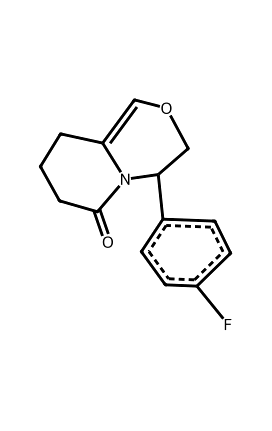 O=C1CCCC2=COCC(c3ccc(F)cc3)N12